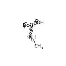 CCCCCc1ccc(CNC(=O)c2ccc(-c3nc(CN(Cc4ccc(OCC(=O)O)cc4)C(=O)c4ccc(C(F)(F)F)cc4)cs3)cc2)cc1